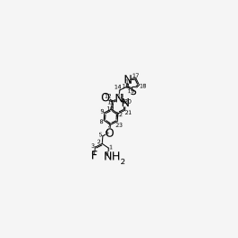 NC/C(=C\F)COc1ccc2c(=O)n(Cc3nccs3)ncc2c1